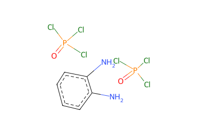 Nc1ccccc1N.O=P(Cl)(Cl)Cl.O=P(Cl)(Cl)Cl